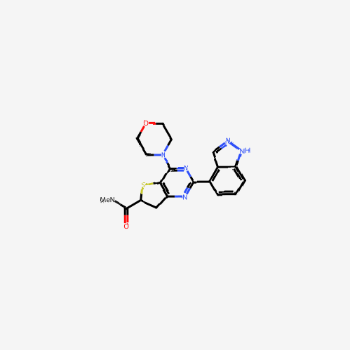 CNC(=O)C1Cc2nc(-c3cccc4[nH]ncc34)nc(N3CCOCC3)c2S1